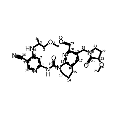 COCC(C)Nc1cc(NC(=O)N2CCCc3cc(CN4CCC(OC)C4=O)c(C=O)nc32)ncc1C#N